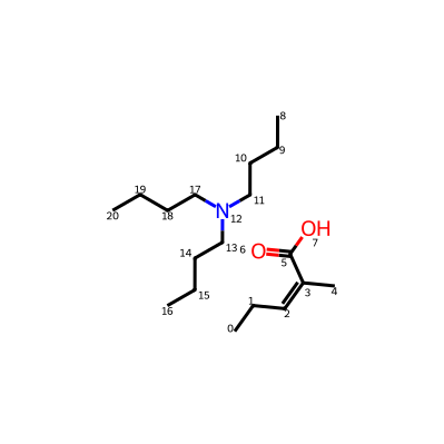 CCC=C(C)C(=O)O.CCCCN(CCCC)CCCC